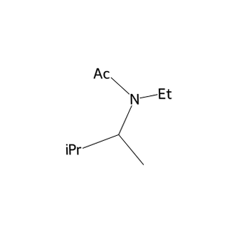 CCN(C(C)=O)C(C)C(C)C